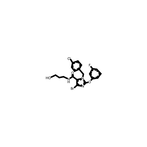 O=C(NCCCO)c1c(Br)nc(Oc2cccc(F)c2)n1Cc1ccc(Cl)cc1